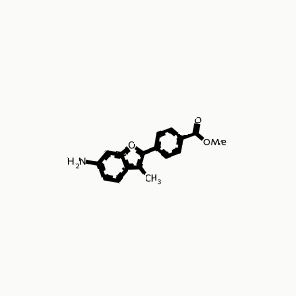 COC(=O)c1ccc(-c2oc3cc(N)ccc3c2C)cc1